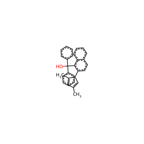 CC1=CC(c2ccc3ccccc3c2C(O)(c2ccccc2)c2ccccc2)C(C)=C1